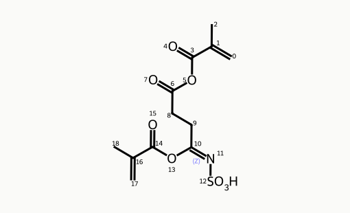 C=C(C)C(=O)OC(=O)CC/C(=N/S(=O)(=O)O)OC(=O)C(=C)C